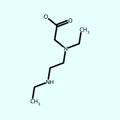 CCNCCN(CC)CC([O])=O